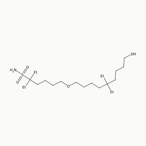 CCC(CC)(CCCCO)CCCCOCCCCC(CC)(CC)S(N)(=O)=O